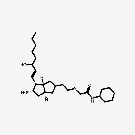 CCCCCC(O)C=C[C@H]1[C@@H]2CC(CCSCC(=O)NC3CCCCC3)C[C@H]2C[C@@H]1O